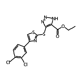 CCOC(=O)c1[nH]nnc1Sc1nc(-c2ccc(Cl)c(Cl)c2)cs1